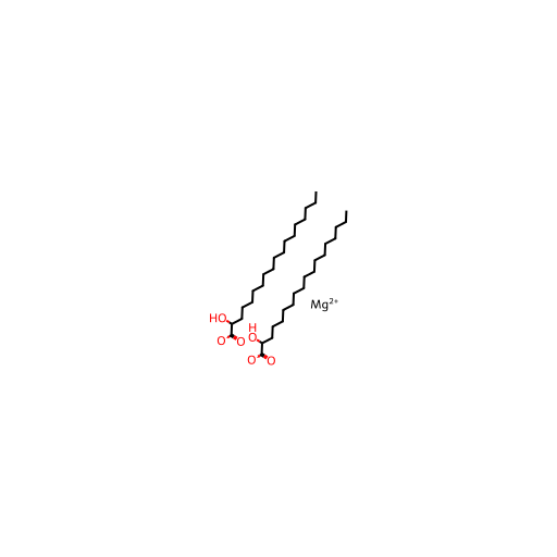 CCCCCCCCCCCCCCCCC(O)C(=O)[O-].CCCCCCCCCCCCCCCCC(O)C(=O)[O-].[Mg+2]